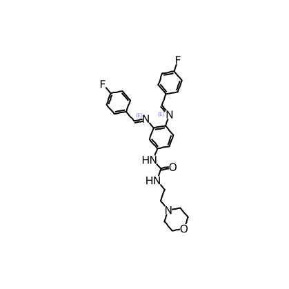 O=C(NCCN1CCOCC1)Nc1ccc(/N=C/c2ccc(F)cc2)c(/N=C/c2ccc(F)cc2)c1